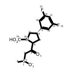 C[S+]([O-])CC(=O)C1C[C@@H](c2cc(F)cc(F)c2)CN1C(=O)O